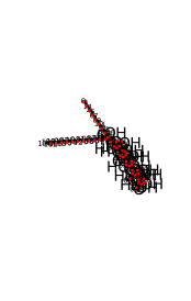 CCCCCCCCCCCCC/C=C/[C@@H](O)[C@H](CO[C@@H]1OC(CO)[C@@H](O[C@@H]2OC(CO)[C@H](O[C@@H]3OC(CO)[C@H](O)[C@H](O[C@@H]4OC(CO)[C@H](O)[C@H](O[C@H]5OC(CO)[C@H](O)[C@H](O)C5NC(C)=O)C4NC(C)=O)C3O)[C@H](O)C2O)[C@H](O)C1O)NC(=O)CCCCCCCCCCCCCCCCCCCCC